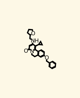 O=c1cc(NCC2CCCO2)c(C2CC2)c2n1CCc1cc(OCc3ccccc3)ccc1-2